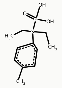 CCS(CC)(c1ccc(C)cc1)P(=O)(O)O